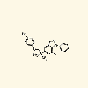 Cc1cc(C(O)(COc2ccc(Br)cc2)C(F)(F)F)cc2cnn(-c3ccccc3)c12